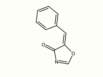 O=C1N=COC1=Cc1ccccc1